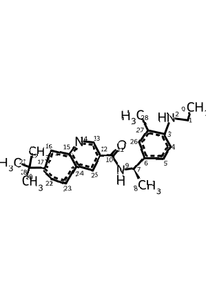 CCNc1ccc([C@@H](C)NC(=O)c2cnc3cc(C(C)(C)C)ccc3c2)cc1C